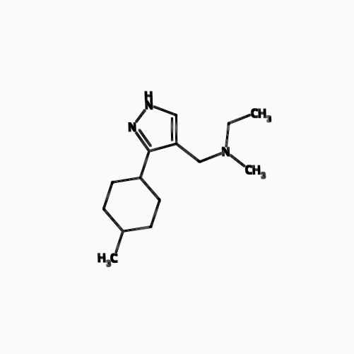 CCN(C)Cc1c[nH]nc1C1CCC(C)CC1